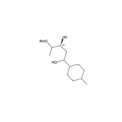 CCC[C@@H](CC(O)C1CCC(C)CC1)C(C)OC